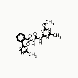 COc1nc(C)nc(NC(=O)NS(=O)(=O)c2ccccc2-c2nc(C)no2)n1